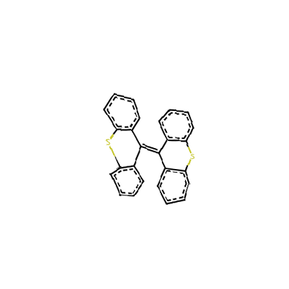 c1ccc2c(c1)Sc1ccccc1C2=C1c2ccccc2Sc2ccccc21